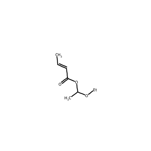 CC=CC(=O)OC(C)OCC